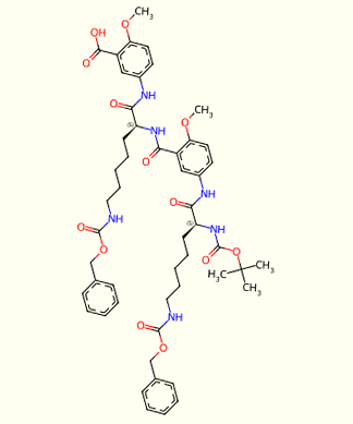 COc1ccc(NC(=O)[C@H](CCCCCNC(=O)OCc2ccccc2)NC(=O)c2cc(NC(=O)[C@H](CCCCCNC(=O)OCc3ccccc3)NC(=O)OC(C)(C)C)ccc2OC)cc1C(=O)O